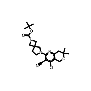 CC(C)(C)OC(=O)N1CC2(CCN(c3nc4c(c(Cl)c3C#N)COC(C)(C)C4)C2)C1